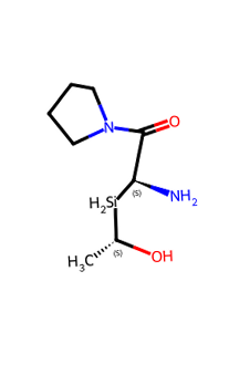 C[C@@H](O)[SiH2][C@H](N)C(=O)N1CCCC1